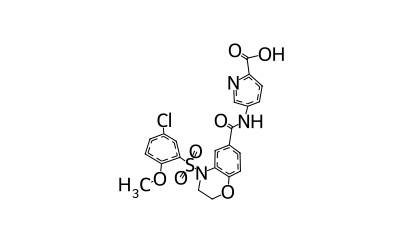 COc1ccc(Cl)cc1S(=O)(=O)N1CCOc2ccc(C(=O)Nc3ccc(C(=O)O)nc3)cc21